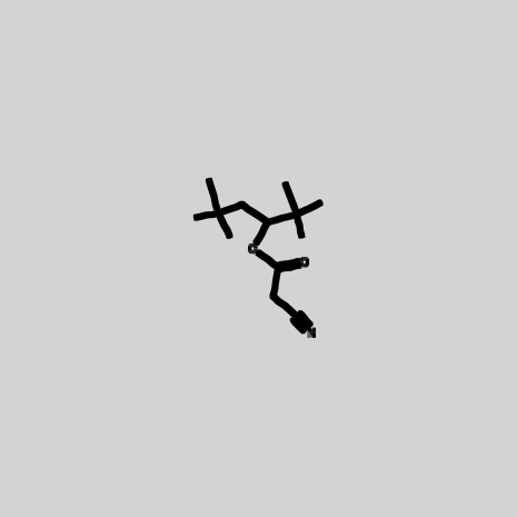 CC(C)(C)CC(OC(=O)CC#N)C(C)(C)C